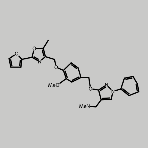 CNCc1cn(-c2ccccc2)nc1OCc1ccc(OCc2nc(-c3ccco3)oc2C)c(OC)c1